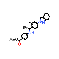 COC(=O)c1ccc(NC(c2ccc(-n3cc4c(n3)CCCC4)cc2C)C(C)C)cc1